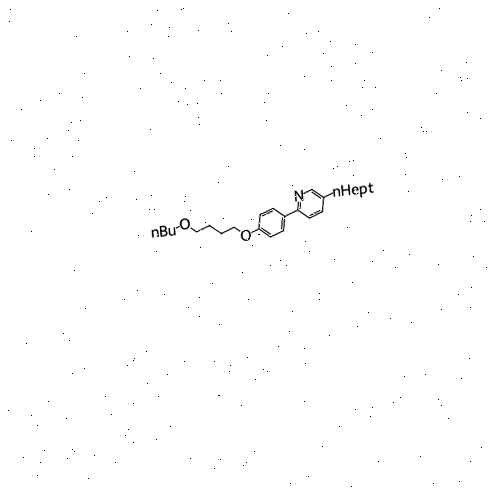 CCCCCCCc1ccc(-c2ccc(OCCCCOCCCC)cc2)nc1